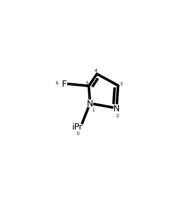 CC(C)n1nccc1F